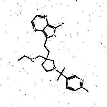 CCOCC1(CCc2sc(F)c3nccnc23)CCN(C(C)(C)c2ccc(C)nc2)C1